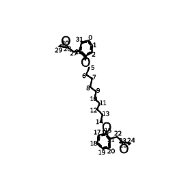 c1ccc(OCCCCCCCCCCOc2ccccc2CC2CO2)c(CC2CO2)c1